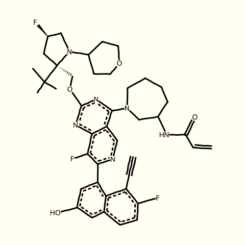 C#Cc1c(F)ccc2cc(O)cc(-c3ncc4c(N5CCCCC(NC(=O)C=C)C5)nc(OC[C@]5(C(C)(C)C)C[C@@H](F)CN5C5CCOCC5)nc4c3F)c12